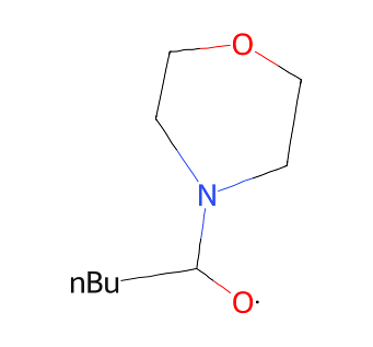 CCCCC([O])N1CCOCC1